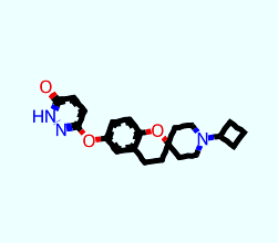 O=c1ccc(Oc2ccc3c(c2)CCC2(CCN(C4CCC4)CC2)O3)n[nH]1